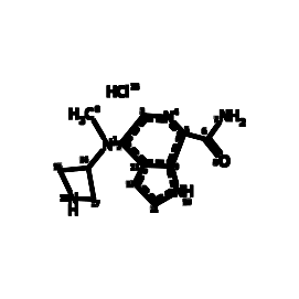 CN(c1cnc(C(N)=O)c2[nH]ccc12)C1CNC1.Cl